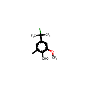 Cc1cc(C(F)(C(F)(F)F)C(F)(F)F)cc(OC(F)(F)F)c1C=O